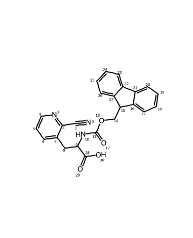 N#Cc1ncccc1CC(NC(=O)OCC1c2ccccc2-c2ccccc21)C(=O)O